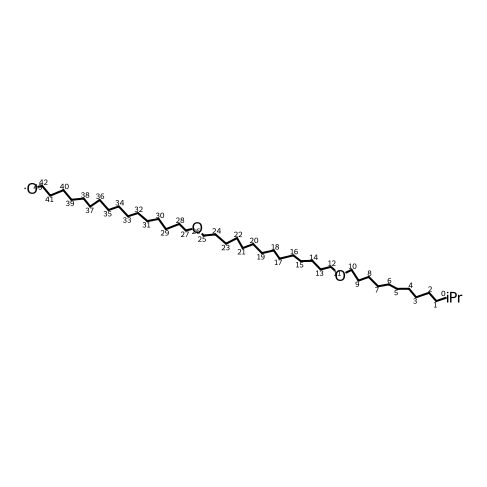 CC(C)CCCCCCCCCCOCCCCCCCCCCCCCCOCCCCCCCCCCCCCCCC[O]